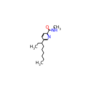 CCCCCCC(CC)c1ccc(C(=O)NC)nc1